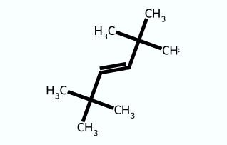 [CH]C(C)(C)C=CC(C)(C)C